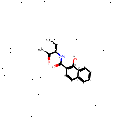 COC(=O)C(CC(F)(F)F)NC(=O)c1ccc2ccccc2c1O